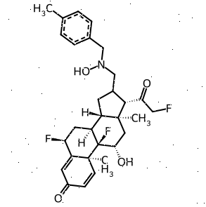 Cc1ccc(CN(O)CC2C[C@H]3[C@@H]4C[C@H](F)C5=CC(=O)C=C[C@]5(C)[C@@]4(F)[C@@H](O)C[C@]3(C)[C@H]2C(=O)CF)cc1